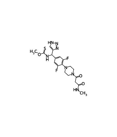 CNC(=O)CC(=O)N1CCN(c2c(F)cc(C(NC(=S)OC)c3c[nH]nn3)cc2F)CC1